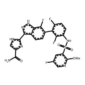 COc1ncc(F)cc1S(=O)(=O)Nc1ccc(F)c(-c2ccc3c(-c4nc(C(N)=O)c[nH]4)n[nH]c3c2F)c1F